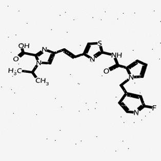 CC(C)n1cc(C=Cc2csc(NC(=O)c3cccn3Cc3ccnc(F)c3)n2)nc1C(=O)O